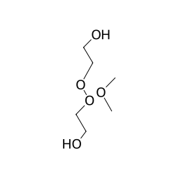 COC.OCCOOCCO